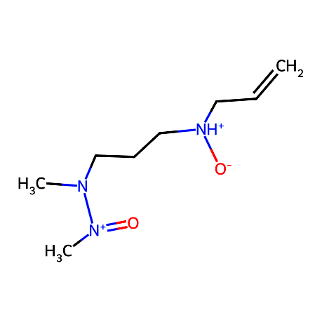 C=CC[NH+]([O-])CCCN(C)[N+](C)=O